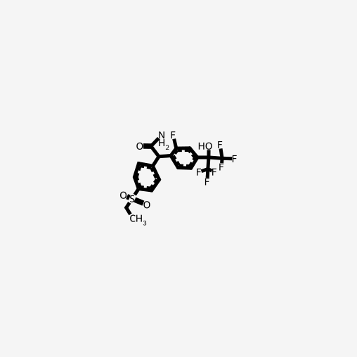 CCS(=O)(=O)c1ccc(C(C(N)=O)c2ccc(C(O)(C(F)(F)F)C(F)(F)F)cc2F)cc1